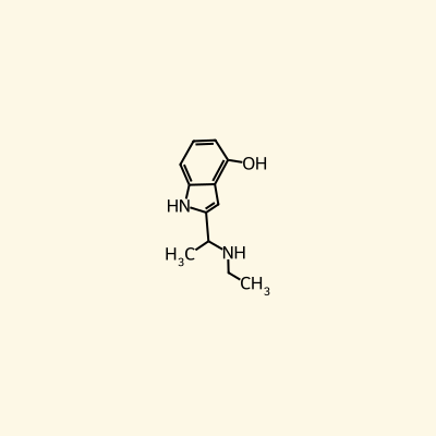 CCNC(C)c1cc2c(O)cccc2[nH]1